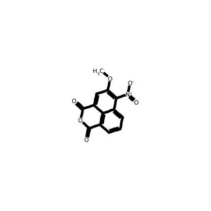 COc1cc2c3c(cccc3c1[N+](=O)[O-])C(=O)OC2=O